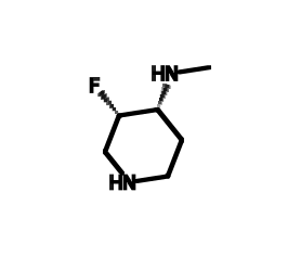 CN[C@@H]1CCNC[C@@H]1F